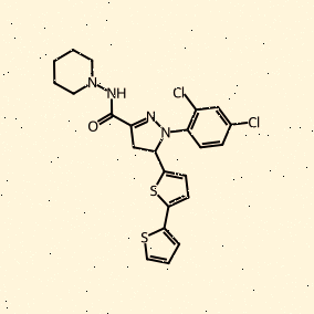 O=C(NN1CCCCC1)C1=NN(c2ccc(Cl)cc2Cl)C(c2ccc(-c3cccs3)s2)C1